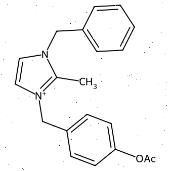 CC(=O)Oc1ccc(C[n+]2ccn(Cc3ccccc3)c2C)cc1